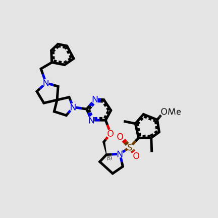 COc1cc(C)c(S(=O)(=O)N2CCC[C@H]2COc2ccnc(N3CCC4(CCN(Cc5ccccc5)C4)C3)n2)c(C)c1